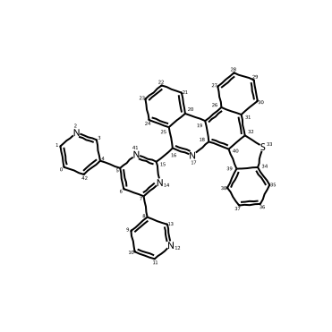 c1cncc(-c2cc(-c3cccnc3)nc(-c3nc4c(c5ccccc35)c3ccccc3c3sc5ccccc5c43)n2)c1